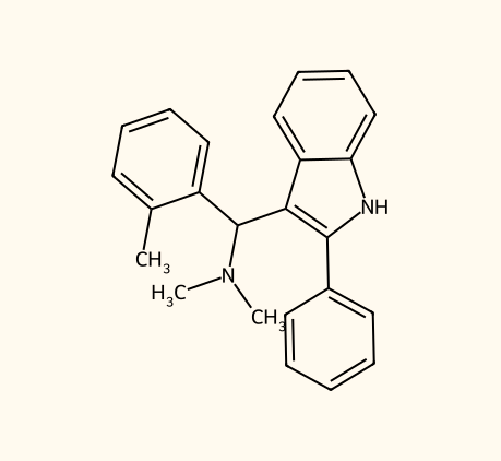 Cc1ccccc1C(c1c(-c2ccccc2)[nH]c2ccccc12)N(C)C